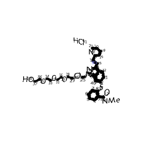 CNC(=O)c1ccccc1Sc1ccc2c(/C=C/c3ccccn3)nn(COCCOCCOCCOCCO)c2c1.Cl